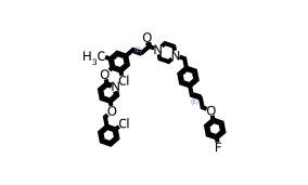 Cc1cc(/C=C/C(=O)N2CCN(Cc3ccc(/C=C/COc4ccc(F)cc4)cc3)CC2)cc(Cl)c1Oc1ccc(OCc2ccccc2Cl)cn1